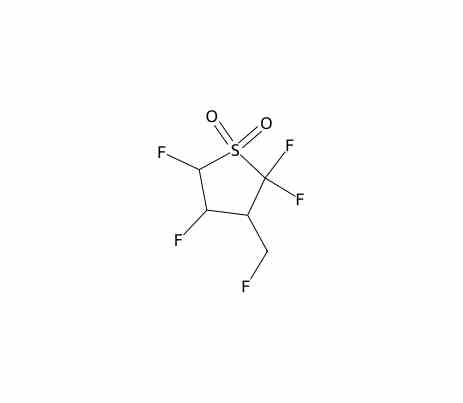 O=S1(=O)C(F)C(F)C(CF)C1(F)F